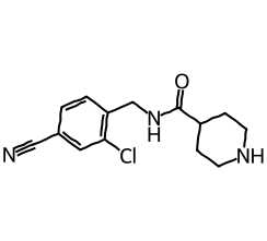 N#Cc1ccc(CNC(=O)C2CCNCC2)c(Cl)c1